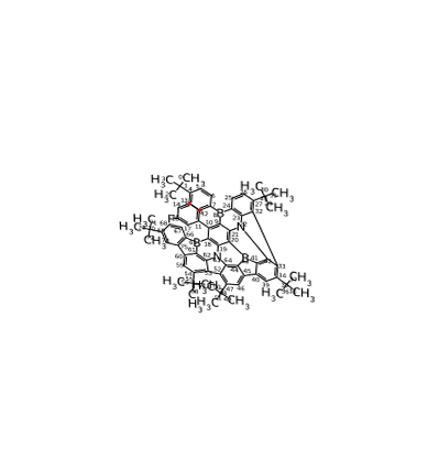 CC(C)(C)c1ccc(B2c3c(-c4cccc(F)c4)c4c5c6c3-n3c7c2ccc(C(C)(C)C)c7c2c(C(C)(C)C)cc7c(c23)B6c2c-7cc(C(C)(C)C)c3c6c(C(C)(C)C)cc7c(c6n-5c23)B4c2ccc(C(C)(C)C)cc2-7)cc1